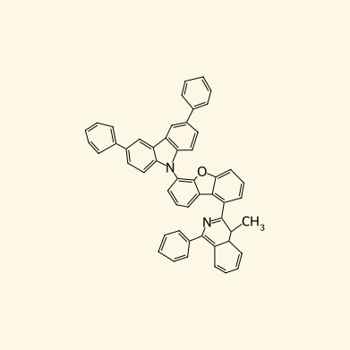 CC1C(c2cccc3oc4c(-n5c6ccc(-c7ccccc7)cc6c6cc(-c7ccccc7)ccc65)cccc4c23)=NC(c2ccccc2)=C2C=CC=CC21